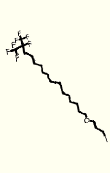 FC(F)(F)C(F)(CCCCCCCCCCCCCCOCCCI)C(F)(F)F